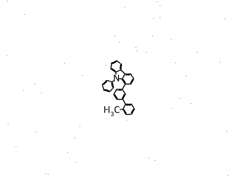 Cc1ccccc1-c1cccc(-c2cccc3c4ccccc4n(-c4ccccc4)c23)c1